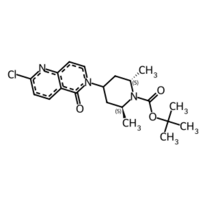 C[C@H]1CC(n2ccc3nc(Cl)ccc3c2=O)C[C@H](C)N1C(=O)OC(C)(C)C